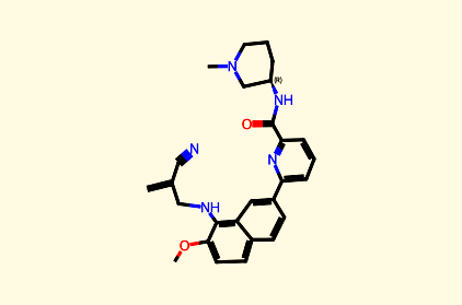 C=C(C#N)CNc1c(OC)ccc2ccc(-c3cccc(C(=O)N[C@@H]4CCCN(C)C4)n3)cc12